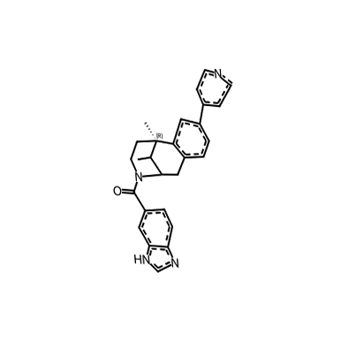 CC1C2Cc3ccc(-c4ccncc4)cc3[C@]1(C)CCN2C(=O)c1ccc2nc[nH]c2c1